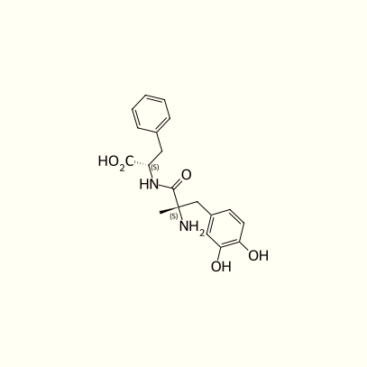 C[C@](N)(Cc1ccc(O)c(O)c1)C(=O)N[C@@H](Cc1ccccc1)C(=O)O